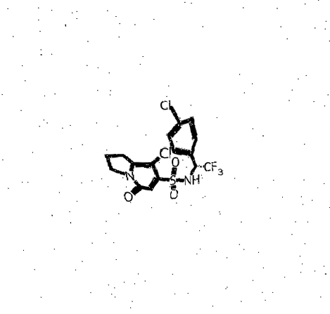 O=c1cc(S(=O)(=O)N[C@H](c2ccc(Cl)cc2)C(F)(F)F)c(Cl)c2n1CCC2